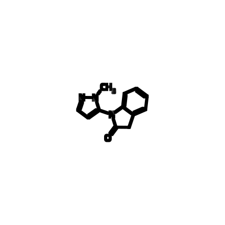 Cn1nccc1N1C(=O)Cc2ccccc21